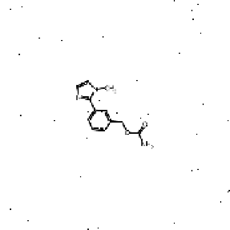 Cn1ccnc1-c1cccc(COC(N)=O)c1